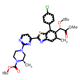 COC(=O)[C@@H](OC(C)(C)C)c1c(C)cc2nc(-c3ccnc(N4CCN(C(=O)OC(C)(C)C)[C@H](C)C4)n3)sc2c1-c1ccc(Cl)cc1